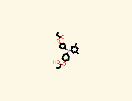 C=CC(=O)Oc1ccc(N(c2ccc(OC(O)C=C)cc2)c2cc(C)cc(C)c2)cc1